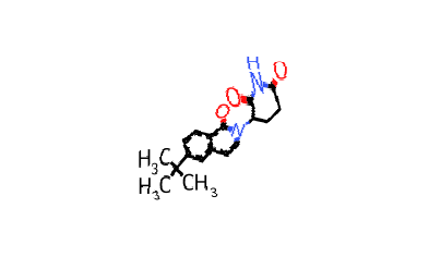 CC(C)(C)c1ccc2c(=O)n(C3CCC(=O)NC3=O)ccc2c1